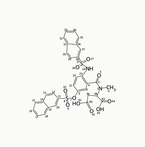 CN(C(=O)c1cc(OS(=O)(=O)c2ccc3ccccc3c2)ccc1NS(=O)(=O)c1ccc2ccccc2c1)C(CC(=O)O)C(=O)O